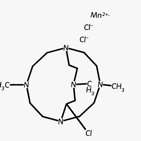 CN1CCN2CCN(C)CCN(CC1)C(Cl)CN(C)CC2.[Cl-].[Cl-].[Mn+2]